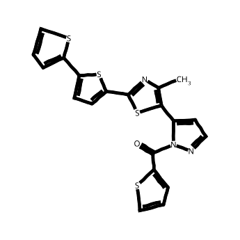 Cc1nc(-c2ccc(-c3cccs3)s2)sc1-c1ccnn1C(=O)c1cccs1